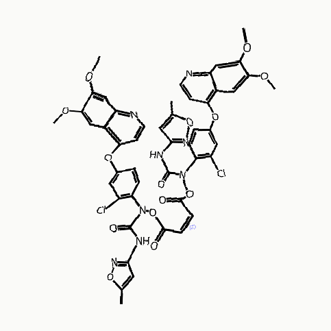 COc1cc2nccc(Oc3ccc(N(OC(=O)/C=C\C(=O)ON(C(=O)Nc4cc(C)on4)c4ccc(Oc5ccnc6cc(OC)c(OC)cc56)cc4Cl)C(=O)Nc4cc(C)on4)c(Cl)c3)c2cc1OC